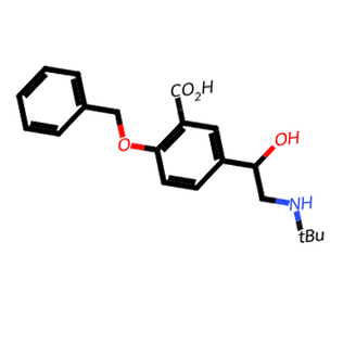 CC(C)(C)NCC(O)c1ccc(OCc2ccccc2)c(C(=O)O)c1